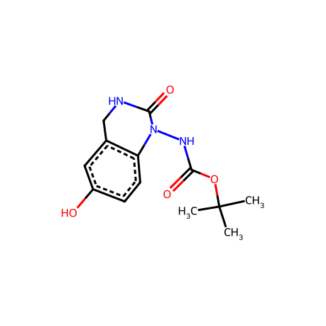 CC(C)(C)OC(=O)NN1C(=O)NCc2cc(O)ccc21